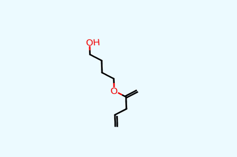 C=CCC(=C)OCCCCO